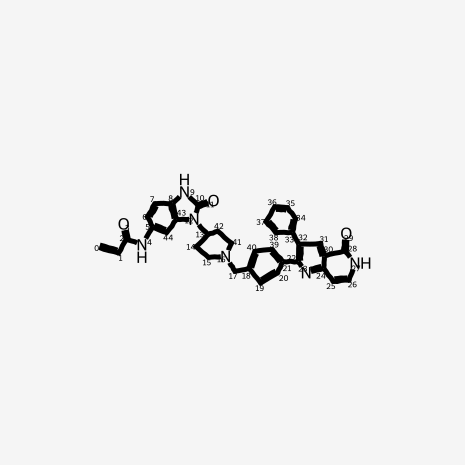 C=CC(=O)Nc1ccc2[nH]c(=O)n(C3CCN(Cc4ccc(-c5nc6cc[nH]c(=O)c6cc5-c5ccccc5)cc4)CC3)c2c1